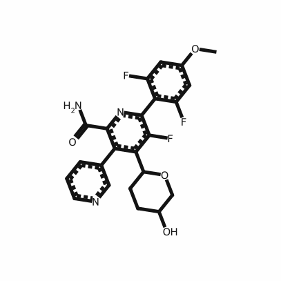 COc1cc(F)c(-c2nc(C(N)=O)c(-c3cccnc3)c(C3CCC(O)CO3)c2F)c(F)c1